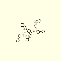 CN/C(=N\C(=N/Cc1ccc2sc3ccccc3c2c1)c1ccc2sc3ccccc3c2c1)n1c2ccccc2c2c1ccc1c3ccccc3n(-c3nc(-c4ccc5sc6ccccc6c5c4)nc(-c4ccc5sc6ccccc6c5c4)n3)c12